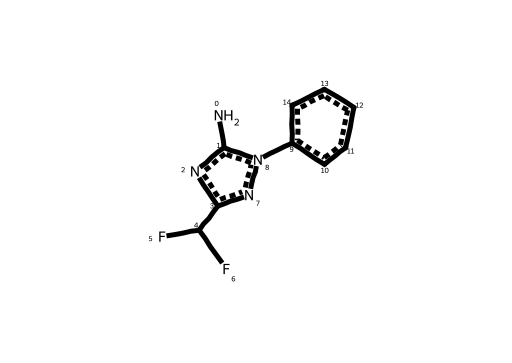 Nc1nc(C(F)F)nn1-c1ccccc1